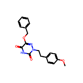 COc1ccc(CCn2nc(OCc3ccccc3)c(=O)[nH]c2=O)cc1